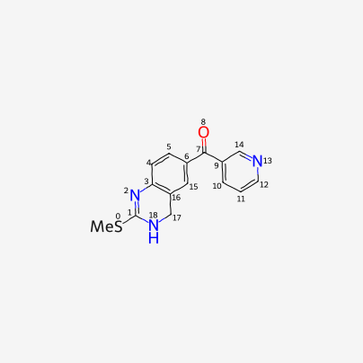 CSC1=Nc2ccc(C(=O)c3cccnc3)cc2CN1